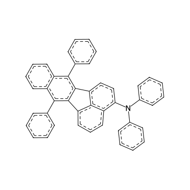 c1ccc(-c2c3c(c(-c4ccccc4)c4ccccc24)-c2ccc(N(c4ccccc4)c4ccccc4)c4cccc-3c24)cc1